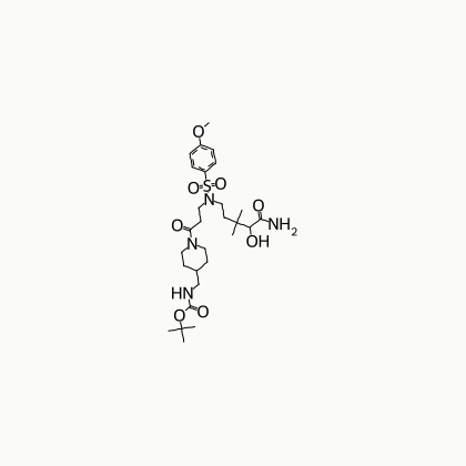 COc1ccc(S(=O)(=O)N(CCC(=O)N2CCC(CNC(=O)OC(C)(C)C)CC2)CCC(C)(C)C(O)C(N)=O)cc1